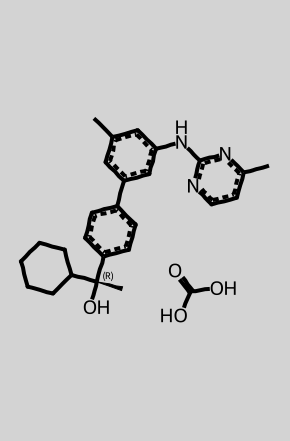 Cc1cc(Nc2nccc(C)n2)cc(-c2ccc([C@](C)(O)C3CCCCC3)cc2)c1.O=C(O)O